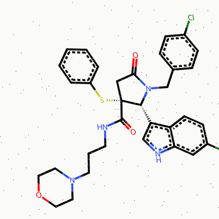 O=C1C[C@](Sc2ccccc2)(C(=O)NCCCN2CCOCC2)[C@@H](c2c[nH]c3cc(Cl)ccc23)N1Cc1ccc(Cl)cc1